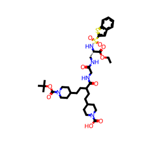 CCOC(=O)[C@H](CNC(=O)CNC(=O)C(CCC1CCN(C(=O)O)CC1)CCC1CCN(C(=O)OC(C)(C)C)CC1)NS(=O)(=O)c1cc2ccccc2s1